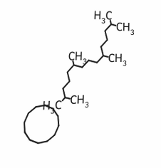 C1CCCCCCCCCCC1.CC(C)CCCC(C)CCCC(C)CCCC(C)C